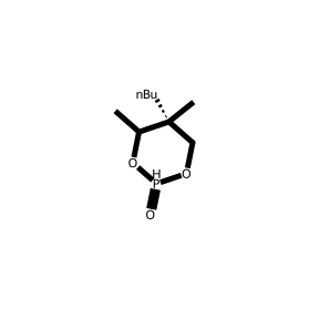 CCCC[C@]1(C)CO[PH](=O)OC1C